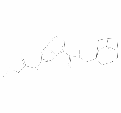 COCC(=O)Nc1cn2c(C(=O)NCC34CC5CC6CC(C3)C6(C5)C4)cccc2n1